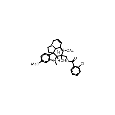 CC[C@]12C=CCN3CC[C@@]4(c5ccc(OC)cc5N(C)[C@H]4C(O)(COC(=O)c4ccccc4Cl)[C@@H]1OC(C)=O)[C@@H]32